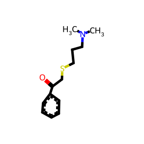 CN(C)CCCSCC(=O)c1ccccc1